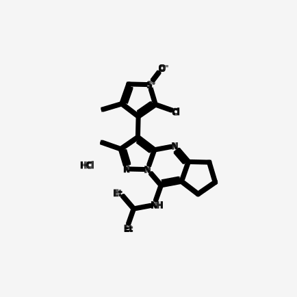 CCC(CC)Nc1c2c(nc3c(-c4c(C)c[s+]([O-])c4Cl)c(C)nn13)CCC2.Cl